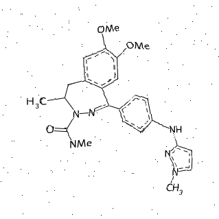 CNC(=O)N1N=C(c2ccc(Nc3ccn(C)n3)cc2)c2cc(OC)c(OC)cc2CC1C